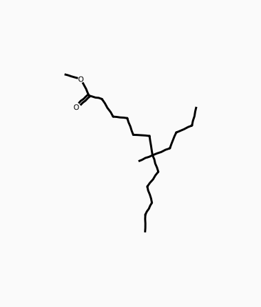 CCCCCC(C)(CCCC)CCCCCC(=O)OC